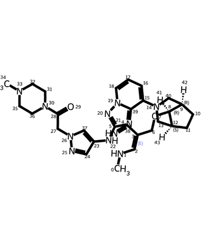 CN/C=C(\C=N)CO[C@H]1[C@@H]2CC[C@H]1CN(c1cccn3nc(Nc4cnn(CC(=O)N5CCN(C)CC5)c4)nc13)C2